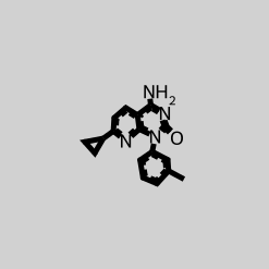 Cc1cccc(-n2c(=O)nc(N)c3ccc(C4CC4)nc32)c1